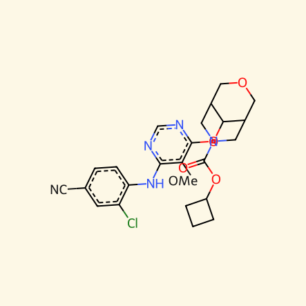 COc1c(Nc2ccc(C#N)cc2Cl)ncnc1OC1C2COCC1CN(C(=O)OC1CCC1)C2